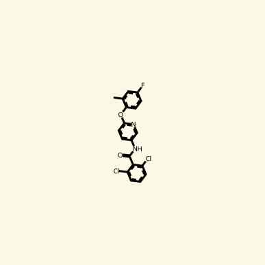 Cc1cc(F)ccc1Oc1ccc(NC(=O)c2c(Cl)cccc2Cl)cn1